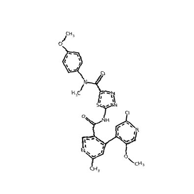 COc1ccc(N(C)C(=O)c2nnc(NC(=O)c3cnc(C)cc3-c3cc(Cl)ncc3OC)s2)cc1